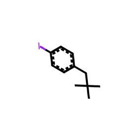 CC(C)(C)Cc1ccc(I)cc1